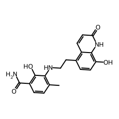 Cc1ccc(C(N)=O)c(O)c1NCCc1ccc(O)c2[nH]c(=O)ccc12